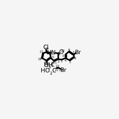 Cc1c(Cc2ccc(Br)cc2)c(=O)[nH]c2c(Cl)ccc(O)c12.O=C(O)CBr